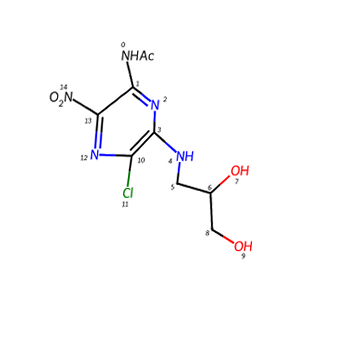 CC(=O)Nc1nc(NCC(O)CO)c(Cl)nc1[N+](=O)[O-]